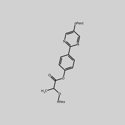 CCCCCCOC(C)C(=O)Oc1ccc(-c2ncc(CCCCC)cn2)cc1